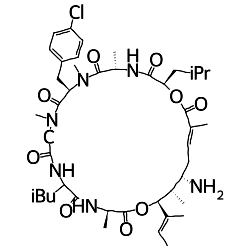 C/C=C(\C)[C@H]1OC(=O)[C@@H](C)NC(=O)C(C(C)CC)NC(=O)CN(C)C(=O)[C@@H](Cc2ccc(Cl)cc2)N(C)C(=O)[C@H](C)NC(=O)[C@@H](CC(C)C)OC(=O)/C(C)=C/C[C@H](N)[C@@H]1C